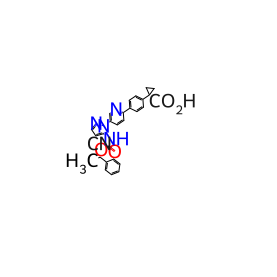 CC(OC(=O)Nc1c(C#N)cnn1-c1ccc(-c2ccc(C3(C(=O)O)CC3)cc2)nc1)c1ccccc1